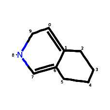 C1=C2CCCCC2=C[N]C1